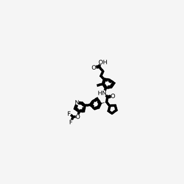 Cc1c(CCC(=O)O)cccc1NC(=O)[C@@H](c1ccc(-c2cncc(OC(F)F)c2)cc1)C1CCCC1